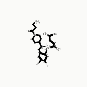 NCCC(=O)N1CCC([C@H](N)Cc2cc(F)c(F)cc2F)CC1.O=C(O)C=CC(=O)O